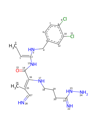 C/C=C(\NCc1ccc(Cl)c(Cl)c1)NC(=O)/C(NCCCC(=N)NN)=C(\C)C=N